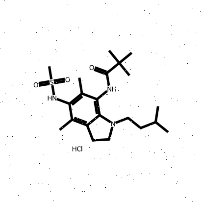 Cc1c2c(c(NC(=O)C(C)(C)C)c(C)c1NS(C)(=O)=O)N(CCC(C)C)CC2.Cl